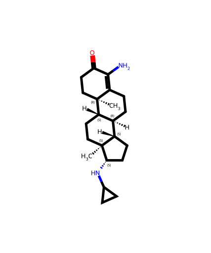 C[C@]12CC[C@H]3[C@@H](CCC4=C(N)C(=O)CC[C@@]43C)[C@@H]1CC[C@@H]2NC1CC1